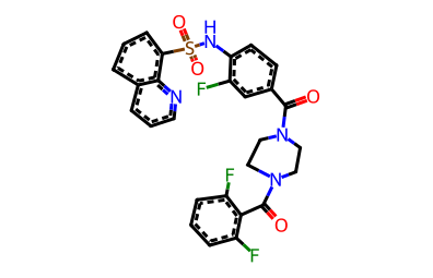 O=C(c1ccc(NS(=O)(=O)c2cccc3cccnc23)c(F)c1)N1CCN(C(=O)c2c(F)cccc2F)CC1